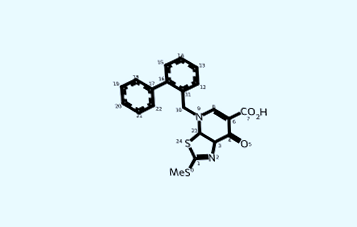 CSC1=NC2C(=O)C(C(=O)O)=CN(Cc3ccccc3-c3ccccc3)C2S1